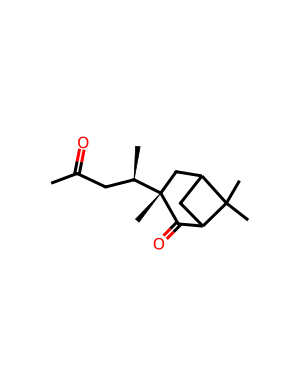 CC(=O)C[C@@H](C)[C@]1(C)CC2CC(C1=O)C2(C)C